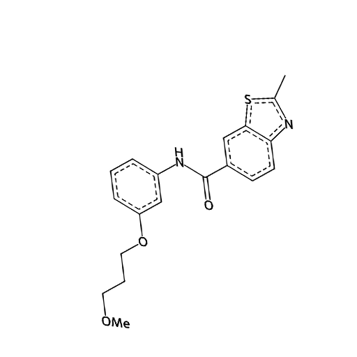 COCCCOc1cccc(NC(=O)c2ccc3nc(C)sc3c2)c1